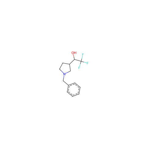 OC(C1CCN(Cc2ccccc2)C1)C(F)(F)F